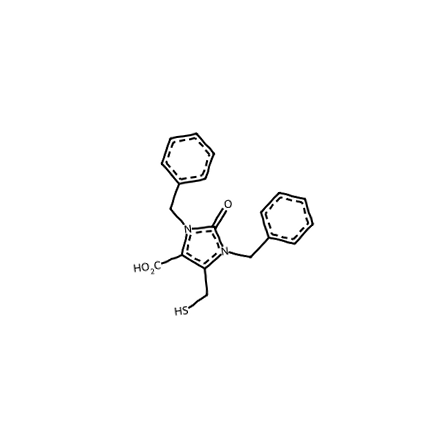 O=C(O)c1c(CS)n(Cc2ccccc2)c(=O)n1Cc1ccccc1